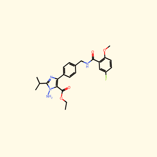 CCOC(=O)c1c(-c2ccc(CNC(=O)c3cc(F)ccc3OC)cc2)nc(C(C)C)n1N